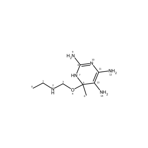 CCNCOC1(C)NC(N)=NC(N)=C1N